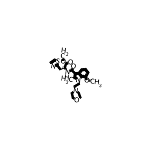 COC(=O)[C@H](Cc1nccs1)NC(=O)c1c(C)n(CCN2CCOCC2)c2c(OC)cccc12